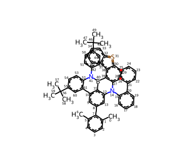 Cc1cccc(C)c1-c1cc2c3c(c1)N(c1ccccc1-c1ccccc1)c1ccc4sc5ccccc5c4c1B3N(c1ccc(C(C)(C)C)cc1)c1ccc(C(C)(C)C)cc1-2